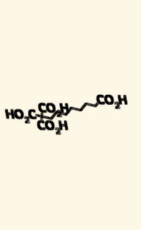 O=C(O)CCCCCCCC(C(=O)O)(C(=O)O)C(=O)O